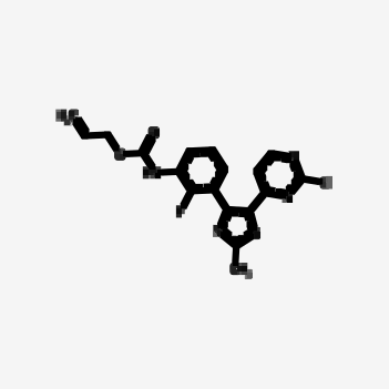 C=CCOC(=O)Nc1cccc(-c2nc(C)sc2-c2ccnc(Cl)n2)c1F